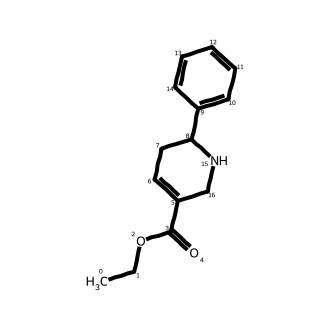 CCOC(=O)C1=CCC(c2ccccc2)NC1